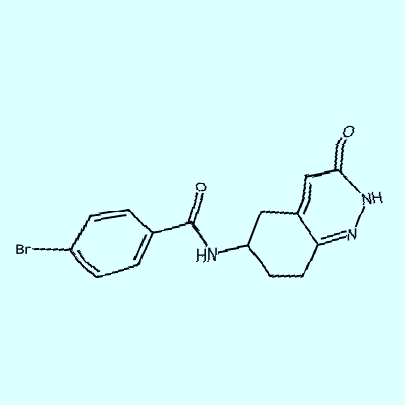 O=C(NC1CCc2n[nH]c(=O)cc2C1)c1ccc(Br)cc1